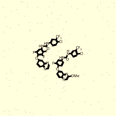 COc1cnc2ccc(Oc3ccc(NC(=O)Nc4ccc(Cl)c(C(F)(F)F)c4)cc3F)cc2n1.O=C(Nc1ccc(Cl)c(C(F)(F)F)c1)Nc1cc(F)c(Oc2ccc3nccnc3c2)c(F)c1F